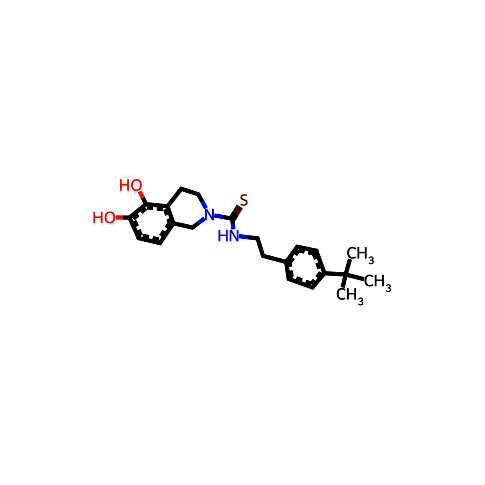 CC(C)(C)c1ccc(CCNC(=S)N2CCc3c(ccc(O)c3O)C2)cc1